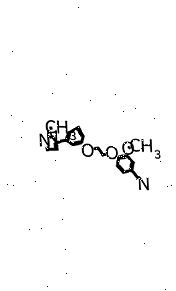 COc1cc(C#N)ccc1OCCOc1cccc(-c2ccnn2C)c1